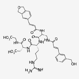 N=C(N)NCCC[C@@H](NC(=O)C(CNC(=O)/C=C/c1cccc(CO)c1)NC(=O)/C=C/c1ccc2c(c1)COC2)C(=O)N[C@H](CC(=O)O)C(=O)NCC(=O)O